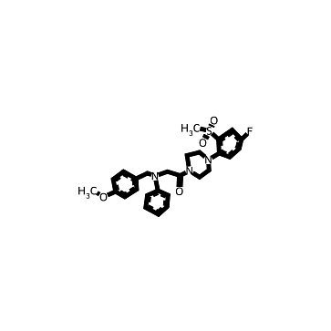 COc1ccc(CN(CC(=O)N2CCN(c3ccc(F)cc3S(C)(=O)=O)CC2)c2ccccc2)cc1